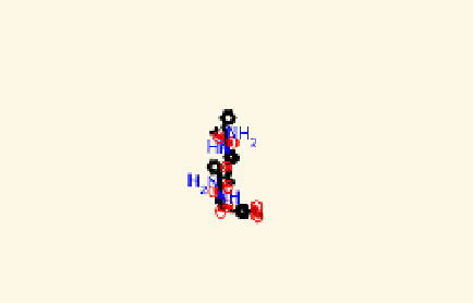 COC(=O)c1ccc(COC(=O)C(C)NC(=O)C(OC(C)CCOc2cccc(NC(=O)C(OC(C)C)C(N)CC3CCCCC3)c2)C(N)CC2CCCCC2)cc1